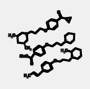 CC=Cc1ccc(OCCCN2CCCCC2C)cc1.COC(=O)c1ccc(OCCCN2CCCCC2)cc1.C[C@@H]1C[C@H](C)CN(CCCOc2ccc(C(=O)C3CC3)cc2)C1